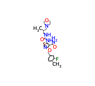 Cc1ccc(COc2nsc(NC(=O)NCC(C)CN3CCOCC3)c2C(N)=O)cc1F